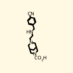 N#Cc1ccc(CNCCN2CC3CC(C2)CN(C(=O)O)C3)cc1